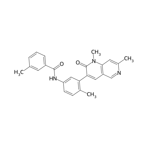 Cc1cccc(C(=O)Nc2ccc(C)c(-c3cc4cnc(C)cc4n(C)c3=O)c2)c1